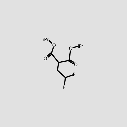 CC(C)OC(=O)C(CC(F)F)C(=O)OC(C)C